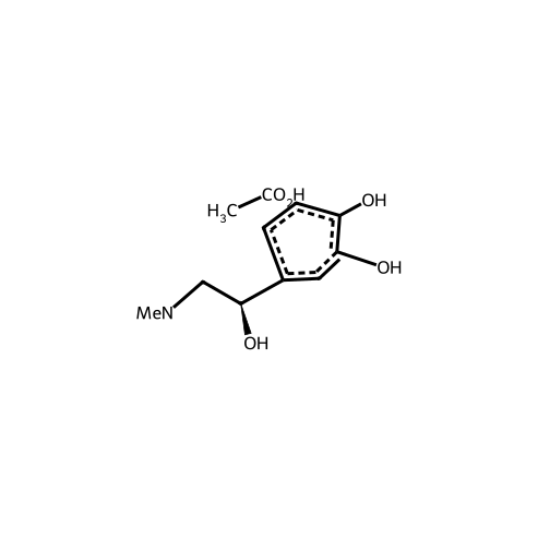 CC(=O)O.CNC[C@H](O)c1ccc(O)c(O)c1